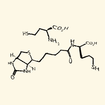 N[C@@H](CCS)C(=O)O.O=C(CCCCC1SC[C@@H]2NC(=O)N[C@H]12)NC(CCS)C(=O)O